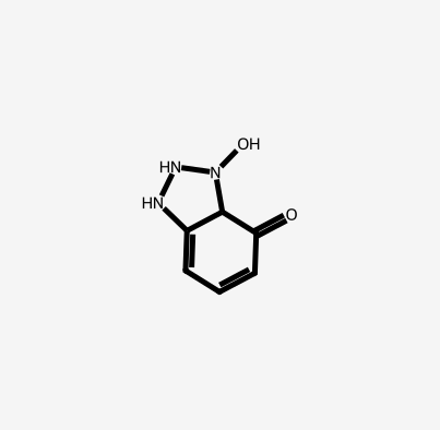 O=C1C=CC=C2NNN(O)C12